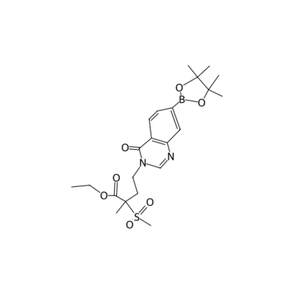 CCOC(=O)C(C)(CCn1cnc2cc(B3OC(C)(C)C(C)(C)O3)ccc2c1=O)S(C)(=O)=O